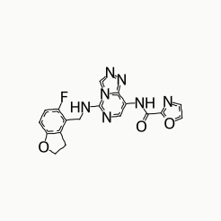 O=C(Nc1cnc(NCc2c(F)ccc3c2CCO3)n2cnnc12)c1ncco1